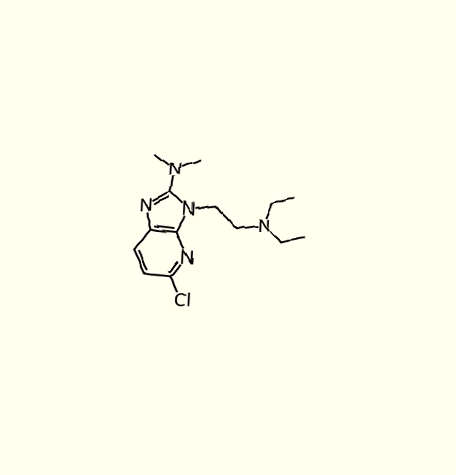 CCN(CC)CCn1c(N(C)C)nc2ccc(Cl)nc21